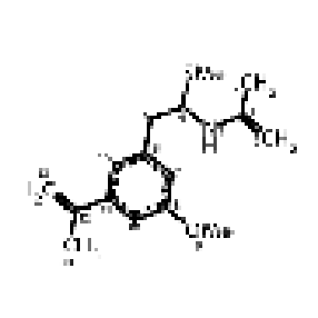 C=C(C)NC(Cc1cc(OC)cc(C(=C)C)c1)SC